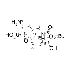 CC(C)(C)OC(=O)NCCCCN.O=C(O)COc1ccc(CO)cc1